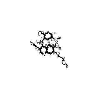 COCCOc1cc2ncc(C#N)c(Nc3cc(OC)ccc3Cl)c2cc1OC